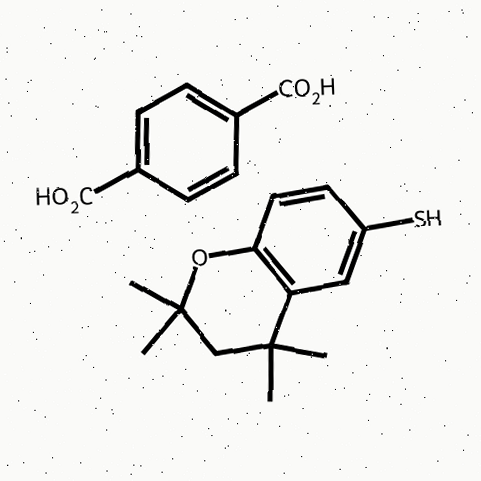 CC1(C)CC(C)(C)c2cc(S)ccc2O1.O=C(O)c1ccc(C(=O)O)cc1